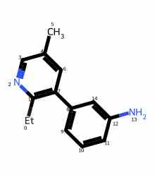 CCc1ncc(C)cc1-c1cccc(N)c1